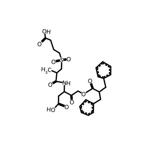 CC(CS(=O)(=O)CCCC(=O)O)C(=O)NC(CC(=O)O)C(=O)COC(=O)C(Cc1ccccc1)Cc1ccccc1